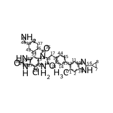 Cc1cc2[nH]c(C3CC3)nc2cc1-c1ccc(C[C@@H](C(N)=O)N(c2cc(Cl)c3[nH]c(=O)[nH]c3c2)C(=O)[C@H]2CC[C@H](CN)CC2)cc1